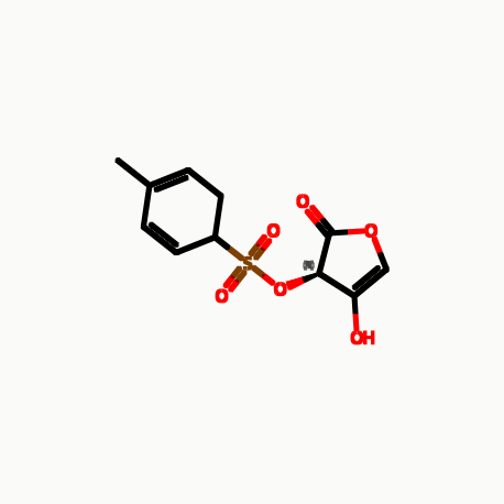 CC1=CCC(S(=O)(=O)O[C@H]2C(=O)OC=C2O)C=C1